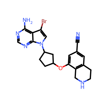 N#Cc1cc2c(c(OC3CCC(n4cc(Br)c5c(N)ncnc54)C3)c1)CNCC2